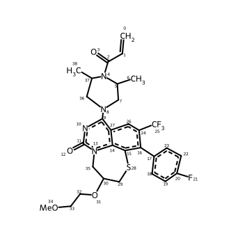 C=CC(=O)N1C(C)CN(c2nc(=O)n3c4c(c(-c5ccc(F)cc5)c(C(F)(F)F)cc24)SCC(OCCOC)C3)CC1C